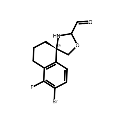 O=CC1N[C@]2(CCCc3c2ccc(Br)c3F)CO1